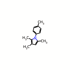 Cc1ccc(-n2c(C)cc(C)c2C)cc1